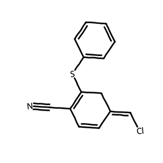 N#CC1=C(Sc2ccccc2)CC(=CCl)C=C1